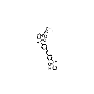 COCC(=O)N1CCC[C@H]1C(=O)Nc1ccc(/C=C/c2ccc(NC(=O)[C@@H]3CCCN3)cc2)cc1